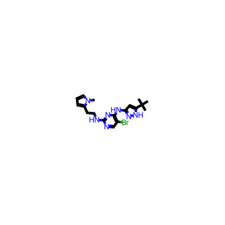 Cn1cccc1CCNc1ncc(Br)c(Nc2cc(C(C)(C)C)[nH]n2)n1